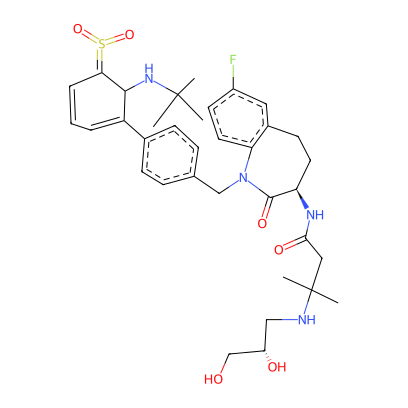 CC(C)(C)NC1C(c2ccc(CN3C(=O)[C@H](NC(=O)CC(C)(C)NC[C@H](O)CO)CCc4cc(F)ccc43)cc2)=CC=CC1=S(=O)=O